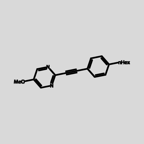 CCCCCCc1ccc(C#Cc2ncc(OC)cn2)cc1